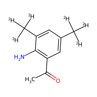 [2H]C([2H])([2H])c1cc(C(C)=O)c(N)c(C([2H])([2H])[2H])c1